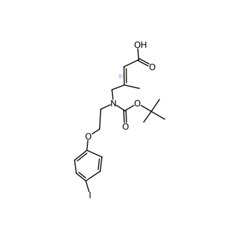 C/C(=C\C(=O)O)CN(CCOc1ccc(I)cc1)C(=O)OC(C)(C)C